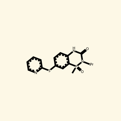 CC(C)N1C(=O)Nc2ccc(Sc3ccccn3)cc2P1(C)=O